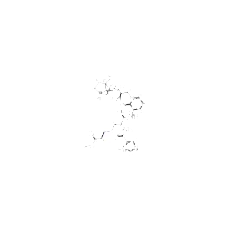 COC(=O)/C=C/CC[C@H](NC(=O)c1cncn1C)C(=O)Nc1cccn(CC(=O)N[C@H]2C[C@H]3CC[C@@]2(C)C3(C)C)c1=O